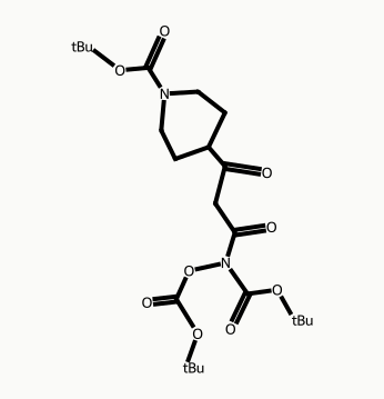 CC(C)(C)OC(=O)ON(C(=O)CC(=O)C1CCN(C(=O)OC(C)(C)C)CC1)C(=O)OC(C)(C)C